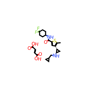 Cc1sc(C(=O)NC2CCC(F)(F)CC2)cc1[C@@H]1C[C@H]1NCC1CC1.O=C(O)/C=C/C(=O)O